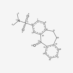 CN(C)S(=O)(=O)c1ccc2c(c1)C(=O)c1ccccc1CC2